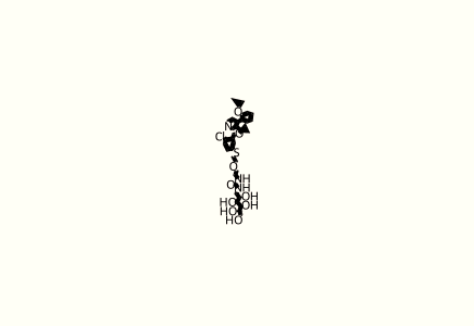 O=C(NCCOCCSc1ccc(Cl)c(COC2(c3cnccc3-c3ccccc3OC3CC3)CC2)c1)NC[C@H](O)[C@@H](O)[C@H](O)[C@H](O)CO